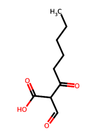 CCCCCC(=O)C(C=O)C(=O)O